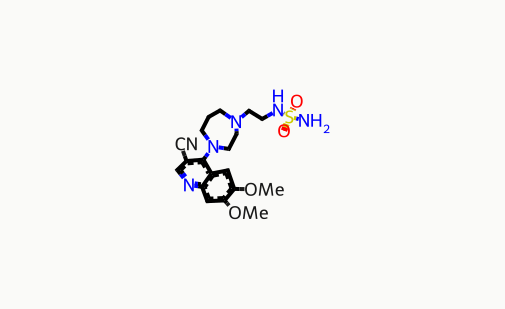 COc1cc2ncc(C#N)c(N3CCCN(CCNS(N)(=O)=O)CC3)c2cc1OC